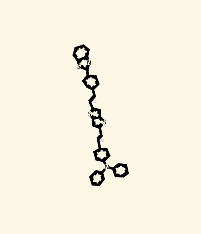 C(=C\c1cc2sc(/C=C/c3ccc(N(c4ccccc4)c4ccccc4)cc3)cc2s1)/c1ccc(-c2nc3ccccc3s2)cc1